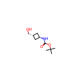 CC(C)(C)OC(=O)N[C@H]1C[C@H](CO)C1